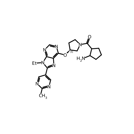 CCn1c(-c2cnc(C)nc2)nc2c(O[C@H]3CCN(C(=O)C4CCCC4N)C3)ncnc21